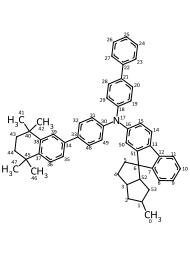 CC1CC2CCC3(c4ccccc4-c4ccc(N(c5ccc(-c6ccccc6)cc5)c5ccc(-c6ccc7c(c6)C(C)(C)CCC7(C)C)cc5)cc43)C2C1